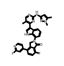 Cc1cnc(Nc2cc(C)n(C)n2)nc1-c1c[nH]c2c(N3Cc4c(-c5ccnc(F)c5)ccc(F)c4C3=O)cccc12